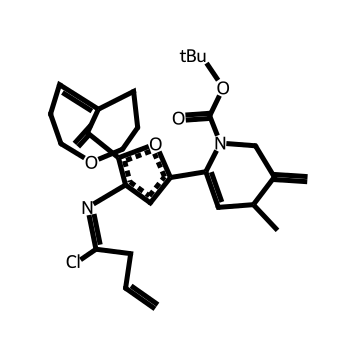 C=CC/C(Cl)=N\c1cc(C2=CC(C)C(=C)CN2C(=O)OC(C)(C)C)oc1C(=C)/C1=C\CCOCCC1